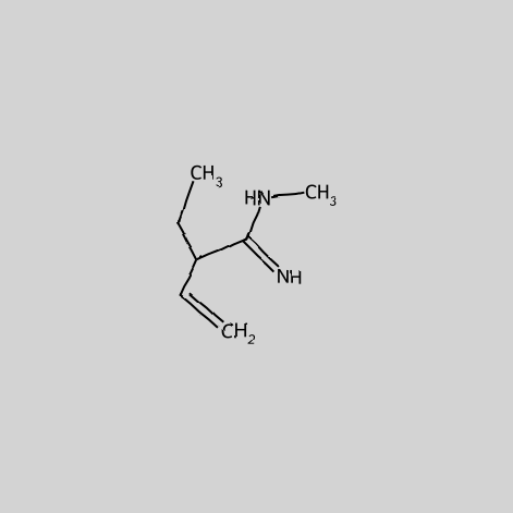 C=CC(CC)C(=N)NC